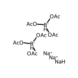 CC(=O)O[BH-](OC(C)=O)OC(C)=O.CC(=O)O[BH-](OC(C)=O)OC(C)=O.[Na+].[Na+].[NaH]